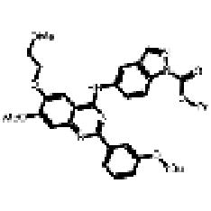 CCCCOc1cccc(-c2nc(Nc3ccc4c(cnn4C(=O)OC(C)C)c3)c3cc(OCCOC)c(OC)cc3n2)c1